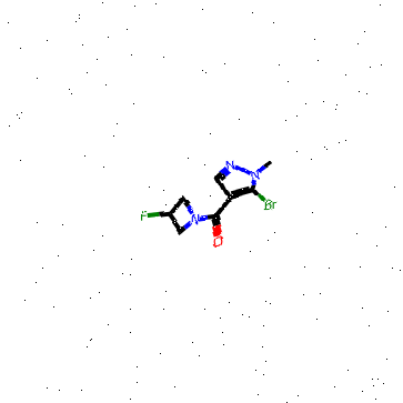 Cn1ncc(C(=O)N2CC(F)C2)c1Br